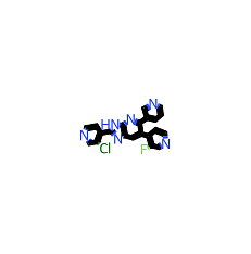 Fc1cnccc1-c1cc2nc(-c3ccncc3Cl)[nH]c2nc1-c1cccnc1